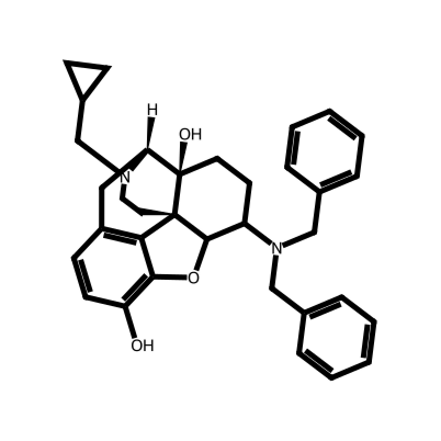 Oc1ccc2c3c1OC1C(N(Cc4ccccc4)Cc4ccccc4)CC[C@@]4(O)[C@@H](C2)N(CC2CC2)CC[C@]314